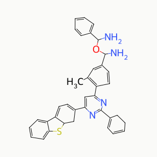 Cc1cc(C(N)OC(N)c2ccccc2)ccc1-c1cc(C2=CC=C3c4ccccc4SC3C2)nc(C2=CC=CCC2)n1